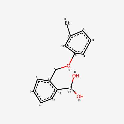 CCc1cccc(OCc2ccccc2B(O)O)c1